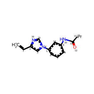 C=Cc1cn(-c2cccc(NC(=O)C(C)C)c2)cn1